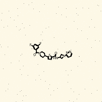 O=C(NC1CN(c2cccnn2)C1)c1ccc(C2CCN(C(=O)c3cc(F)cc(F)c3)CC2)s1